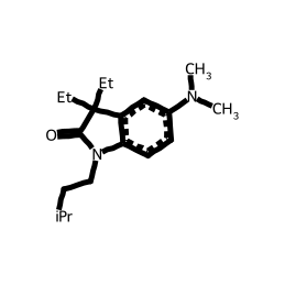 CCC1(CC)C(=O)N(CCC(C)C)c2ccc(N(C)C)cc21